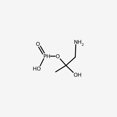 CC(O)(CN)O[PH](=O)O